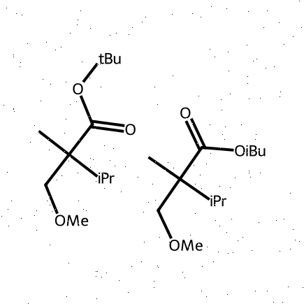 COCC(C)(C(=O)OC(C)(C)C)C(C)C.COCC(C)(C(=O)OCC(C)C)C(C)C